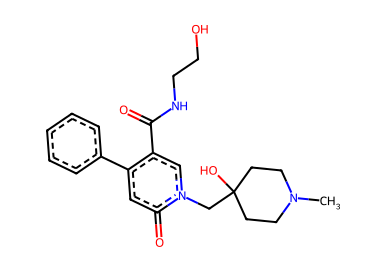 CN1CCC(O)(Cn2cc(C(=O)NCCO)c(-c3ccccc3)cc2=O)CC1